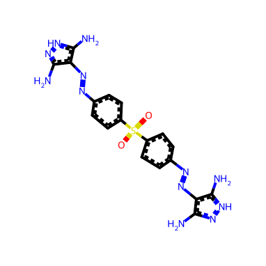 Nc1n[nH]c(N)c1N=Nc1ccc(S(=O)(=O)c2ccc(N=Nc3c(N)n[nH]c3N)cc2)cc1